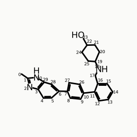 Cc1nc2ccc(-c3ccc(-c4ccccc4CNC4CCC(O)CC4)cc3)cc2[nH]1